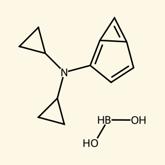 OBO.c1cc(N(C2CC2)C2CC2)c2cc1-2